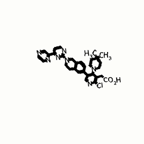 CC1(C)CCN(c2c(-c3ccc4c(c3)CCN(c3nccc(-c5cnccn5)n3)C4)cnc(Cl)c2CC(=O)O)CC1